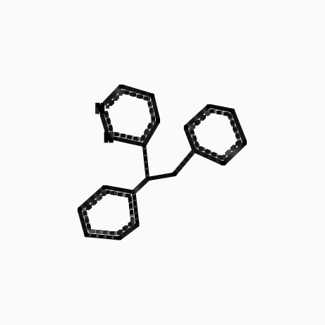 c1ccc(CC(c2ccccc2)c2cccnn2)cc1